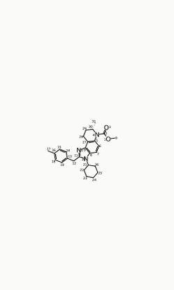 COC(=O)N1c2ccc3c(nc(Cc4ccc(C)cc4)n3C3CCCCC3)c2CC[C@@H]1C